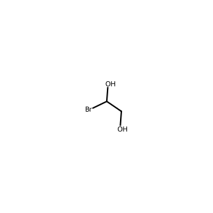 OCC(O)Br